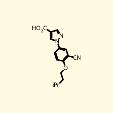 CC(C)CCOc1ccc(-n2cc(C(=O)O)cn2)cc1C#N